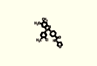 Cc1cc2nc(N3CCC(C(=O)NC4CCOC4)CC3)n(-c3ccc(C)c(Cl)c3)c2cc1C